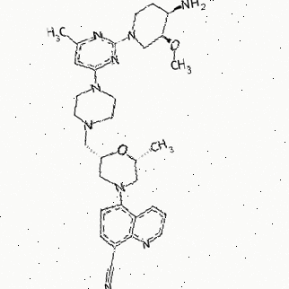 CO[C@H]1CN(c2nc(C)cc(N3CCN(C[C@H]4CN(c5ccc(C#N)c6ncccc56)C[C@@H](C)O4)CC3)n2)CC[C@H]1N